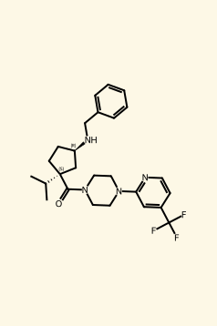 CC(C)[C@]1(C(=O)N2CCN(c3cc(C(F)(F)F)ccn3)CC2)CC[C@@H](NCc2ccccc2)C1